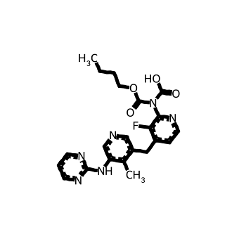 CCCCOC(=O)N(C(=O)O)c1nccc(Cc2cncc(Nc3ncccn3)c2C)c1F